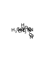 CN(C)CCNC(=O)c1cccc(-c2ccc3ncc(Cc4ccc5ncccc5c4)n3n2)c1